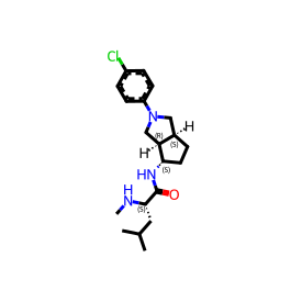 CN[C@@H](CC(C)C)C(=O)N[C@H]1CC[C@@H]2CN(c3ccc(Cl)cc3)C[C@@H]21